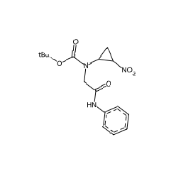 CC(C)(C)OC(=O)N(CC(=O)Nc1ccccc1)C1CC1[N+](=O)[O-]